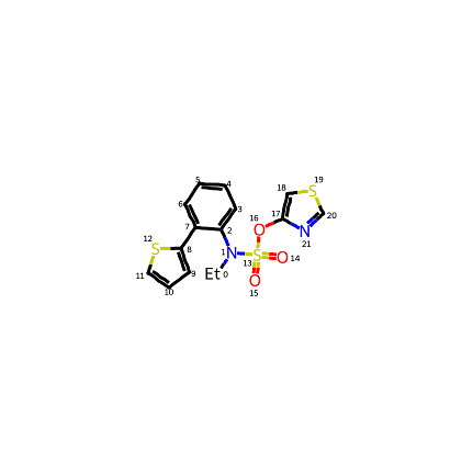 CCN(c1ccccc1-c1cccs1)S(=O)(=O)Oc1cscn1